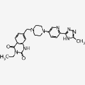 CCn1c(=O)[nH]c2cc(CN3CCN(c4ccc(-c5nnc(C)[nH]5)nc4)CC3)ccc2c1=O